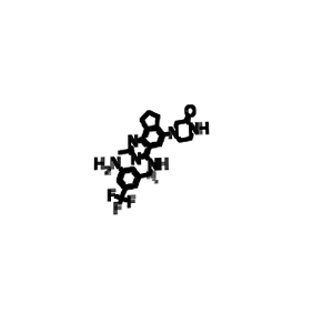 Cc1nc(N[C@H](C)c2cc(N)cc(C(F)(F)F)c2)c2cc(N3CCNC(=O)C3)c3c(c2n1)CCC3